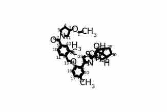 CCOC1CCN(C(=O)c2ccc(COc3ccc(C)cc3-c3csc(N4CC5CC[C@H](C4)[C@@H]5C(=O)O)n3)c(C)c2)C1